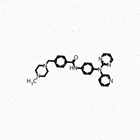 CN1CCN(Cc2ccc(C(=O)Nc3ccc(N(c4cccnc4)c4ncccn4)cc3)cc2)CC1